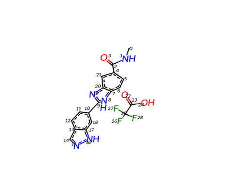 CNC(=O)c1ccc2[nH]c(-c3ccc4cn[nH]c4c3)nc2c1.O=C(O)C(F)(F)F